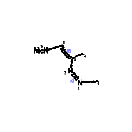 C/N=N\C(C)=C/NC